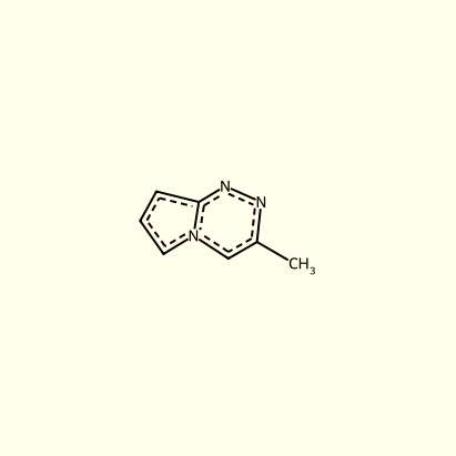 Cc1cn2cccc2nn1